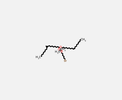 CCCCCCCC/C=C\CCCCCCCCOC(CCCCCCCC1CC1CCCCCCCC)O[Si](C)(C)OCCCCCCBr